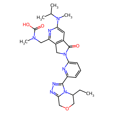 CCC1COCc2nnc(-c3cccc(N4Cc5c(cc(N(C)C(C)C)nc5CN(C)C(=O)O)C4=O)n3)n21